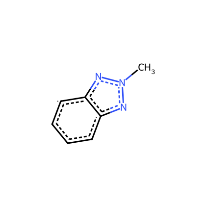 Cn1nc2[c]cccc2n1